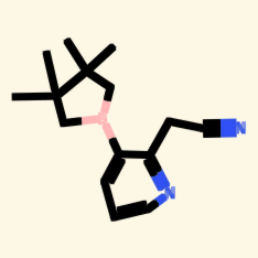 CC1(C)CB(c2cccnc2CC#N)CC1(C)C